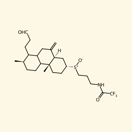 C=C1CC2C(CCC=O)[C@H](C)CCC2[C@@]2(C)CC[C@@H]([S+]([O-])CCCNC(=O)C(F)(F)F)C[C@H]12